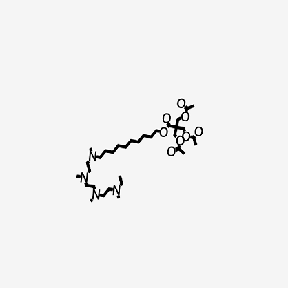 CCN(C)CCN(C)CCN(C)CCN(C)CCCCCCCCCCOC(=O)C(COC(C)=O)(COC(C)=O)COC(C)=O